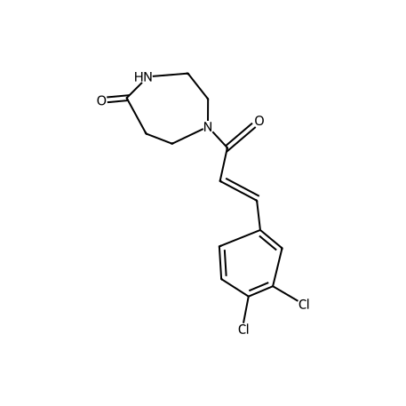 O=C1CCN(C(=O)C=Cc2ccc(Cl)c(Cl)c2)CCN1